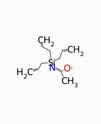 C=CC[Si](CC=C)(CC=C)N=C(C)[O]